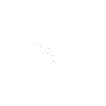 CN(C)[C@H]1CCc2nc(NC(=O)c3cccc([C@H]4CCCN4C(=O)C4=CC(C5C=NNC5)CC=C4)c3)sc2C1